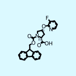 O=C(O)[C@@H]1C[C@@H](Oc2ncccc2F)CN1C(=O)OCC1c2ccccc2-c2ccccc21